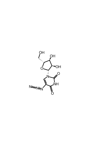 [N-]=[N+]=Nc1cn([C@@H]2O[C@H](CO)[C@@H](O)[C@H]2O)c(=O)[nH]c1=O